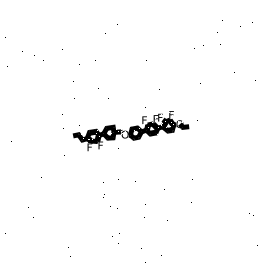 CCCc1ccc(C2CCC(COC3CCC(c4ccc(-c5ccc(OCC)c(F)c5F)c(F)c4F)CC3)CC2)c(F)c1F